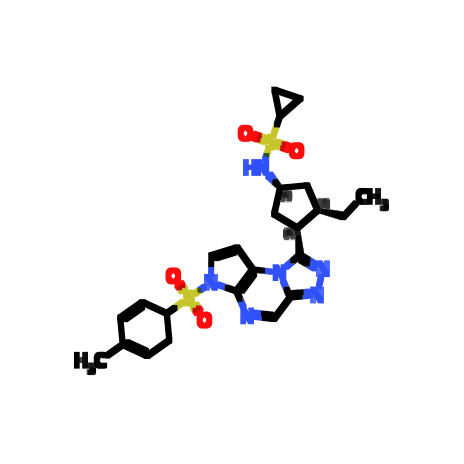 CC[C@@H]1C[C@H](NS(=O)(=O)C2CC2)C[C@@H]1c1nnc2cnc3c(ccn3S(=O)(=O)C3C=CC(C)=CC3)n12